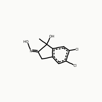 CC1(O)C(=NO)Cc2cc(Cl)c(Cl)cc21